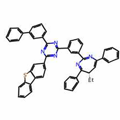 CC[C@H]1C=C(c2ccccc2)N=C(c2cccc(-c3nc(-c4cccc(-c5ccccc5)c4)nc(-c4ccc5c(c4)sc4ccccc45)n3)c2)N=C1c1ccccc1